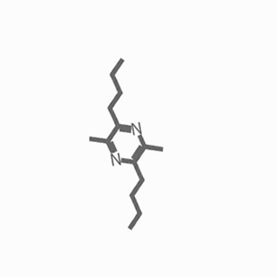 CCCCc1nc(C)c(CCCC)nc1C